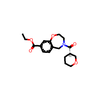 CCOC(=O)c1ccc2c(c1)OCCN(C(=O)[C@H]1CCCOC1)C2